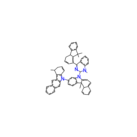 CC1CC=Cc2c1c1cc3ccccc3cc1n2-c1ccc2c(c1)N(C1N=C(C3=C4C(CC=C3)c3ccccc3C4(C)C)c3ccccc3N1C)C1=CC=C3C=CC=CC3C12C